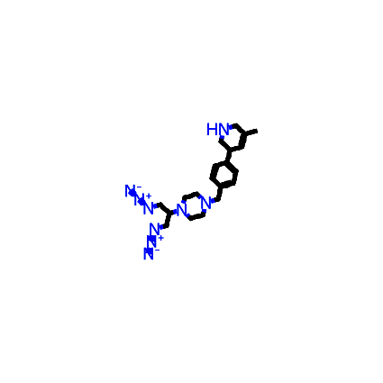 CC1=CC(c2ccc(CN3CCN(C(CN=[N+]=[N-])CN=[N+]=[N-])CC3)cc2)CNC1